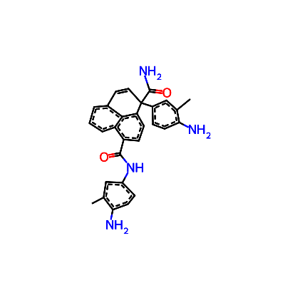 Cc1cc(NC(=O)c2ccc3c4c(cccc24)C=CC3(C(N)=O)c2ccc(N)c(C)c2)ccc1N